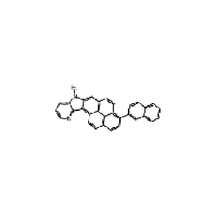 CCn1c2cccnc2c2c3ccc4ccc(-c5ccc6ccccc6c5)c5ccc(cc21)c3c45